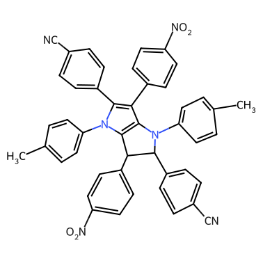 Cc1ccc(N2c3c(-c4ccc([N+](=O)[O-])cc4)c(-c4ccc(C#N)cc4)n(-c4ccc(C)cc4)c3C(c3ccc([N+](=O)[O-])cc3)C2c2ccc(C#N)cc2)cc1